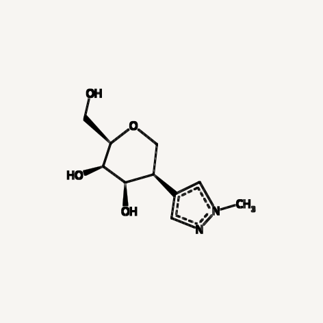 Cn1cc([C@@H]2CO[C@H](CO)[C@H](O)[C@@H]2O)cn1